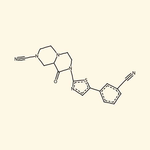 N#Cc1cccc(-c2cnc(N3CCN4CCN(C#N)CC4C3=O)s2)c1